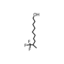 CC(CCCCCCCCO)C(F)(F)F